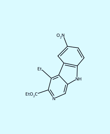 CCOC(=O)c1ncc2[nH]c3ccc([N+](=O)[O-])cc3c2c1CC